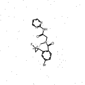 O=C(CN1C[C@@]2(C[C@H]2F)c2cc(Br)ccc2C1=O)Nc1ncccn1